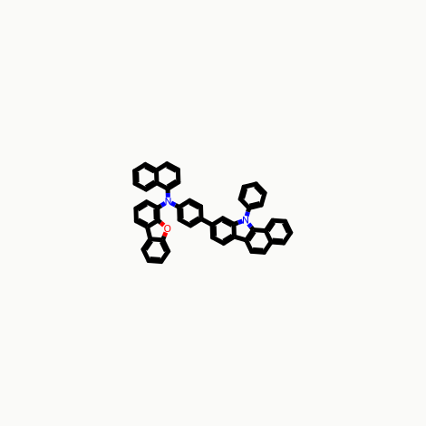 c1ccc(-n2c3cc(-c4ccc(N(c5cccc6ccccc56)c5cccc6c5oc5ccccc56)cc4)ccc3c3ccc4ccccc4c32)cc1